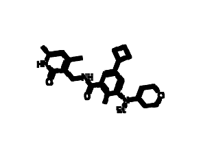 CCN(c1cc(C2CCC2)cc(C(=O)NCc2c(C)cc(C)[nH]c2=O)c1C)C1CCOCC1